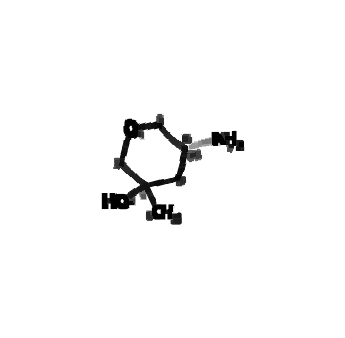 CC1(O)COC[C@H](N)C1